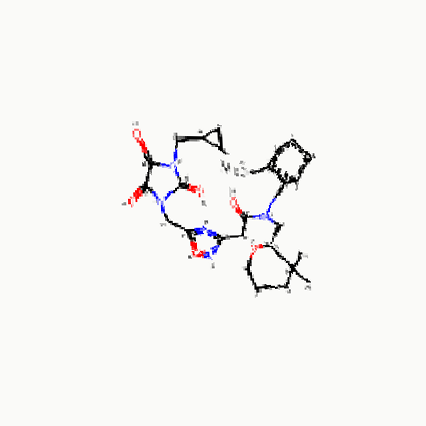 COc1ccccc1N(C[C@@H]1OCCCC1(C)C)C(=O)Cc1noc(CN2C(=O)C(=O)N(CC3CC3)C2=O)n1